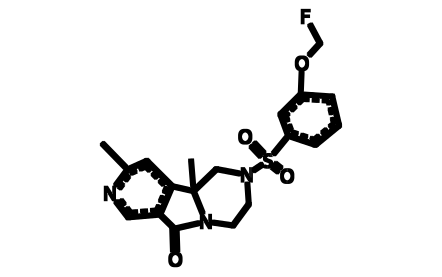 Cc1cc2c(cn1)C(=O)N1CCN(S(=O)(=O)c3cccc(OCF)c3)CC21C